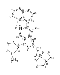 CC1CCCN(c2nc(OCC34CCCN3CCC4)nc3c(F)c(-c4cccc5cccc(F)c45)ncc23)C1